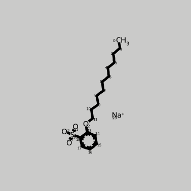 CCCCCCCCCCCCOc1ccccc1S(=O)(=O)[O-].[Na+]